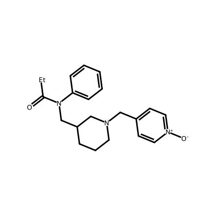 CCC(=O)N(CC1CCCN(Cc2cc[n+]([O-])cc2)C1)c1ccccc1